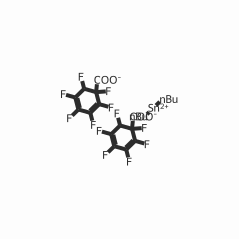 CCC[CH2][Sn+2][CH2]CCC.O=C([O-])C1(F)C(F)=C(F)C(F)=C(F)C1F.O=C([O-])C1(F)C(F)=C(F)C(F)=C(F)C1F